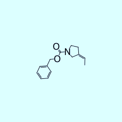 CC=C1CCN(C(=O)OCc2ccccc2)C1